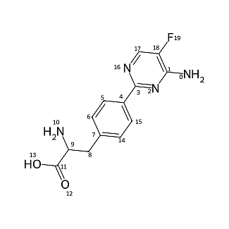 Nc1nc(-c2ccc(CC(N)C(=O)O)cc2)ncc1F